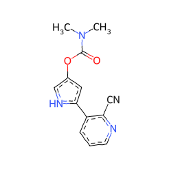 CN(C)C(=O)Oc1c[nH]c(-c2cccnc2C#N)c1